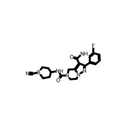 N#CB1CCC(NC(=O)N2CCn3nc(-c4cccc(F)c4)c(C(N)=O)c3C2)CC1